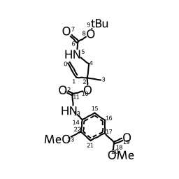 C=CC(C)(CNC(=O)OC(C)(C)C)OC(=O)Nc1ccc(C(=O)OC)cc1OC